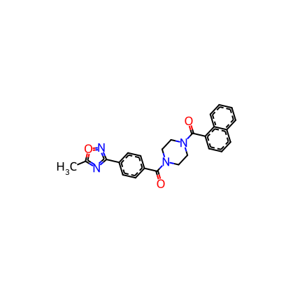 Cc1nc(-c2ccc(C(=O)N3CCN(C(=O)c4cccc5ccccc45)CC3)cc2)no1